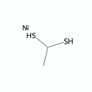 CC(S)S.[Ni]